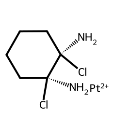 N[C@]1(Cl)CCCC[C@@]1(N)Cl.[Pt+2]